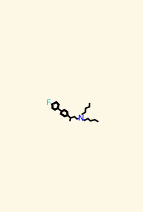 CCCCCN(CCCCC)CCC(C)c1ccc(-c2ccc(F)cc2)cc1